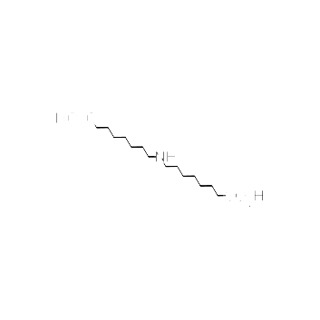 O=C(O)CCCCCCCNCCCCCCCC(=O)O